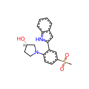 CS(=O)(=O)c1ccc(N2CC[C@H](O)C2)c(-c2cc3ccccc3[nH]2)c1